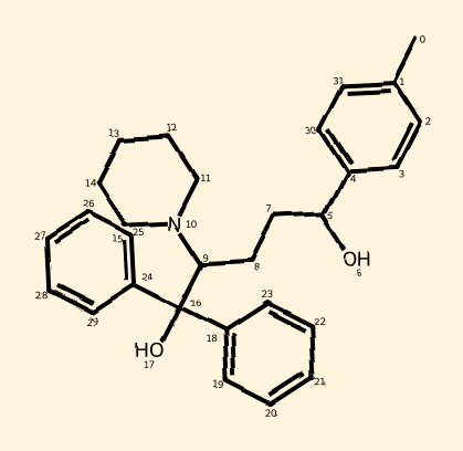 Cc1ccc(C(O)CCC(N2CCCCC2)C(O)(c2ccccc2)c2ccccc2)cc1